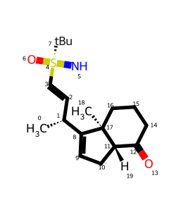 C[C@H](/C=C/[S@](=N)(=O)C(C)(C)C)C1=CC[C@H]2C(=O)CCC[C@]12C